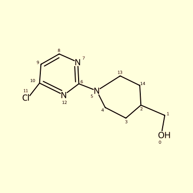 OCC1CCN(c2nccc(Cl)n2)CC1